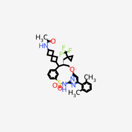 CC(=O)NC1CC2(C1)CC(C1c3cccc(c3)S(=O)(=O)Nc3nc(cc(-c4c(C)cccc4C)n3)OC[C@H]1CC1(C(F)(F)F)CC1)C2